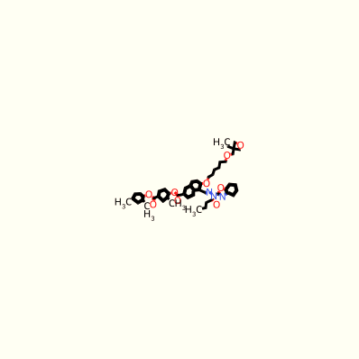 CCCC(=O)N(/N=C/c1c(OCCCCCCOCC2(CC)COC2)ccc2cc(C(=O)Oc3ccc(C(=O)Oc4ccc(C)cc4C)cc3C)ccc12)c1nc2ccccc2o1